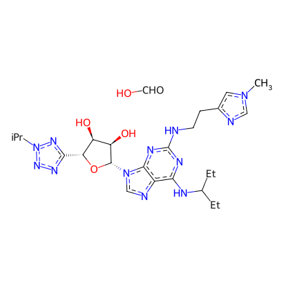 CCC(CC)Nc1nc(NCCc2cn(C)cn2)nc2c1ncn2[C@@H]1O[C@H](c2nnn(C(C)C)n2)[C@@H](O)[C@H]1O.O=CO